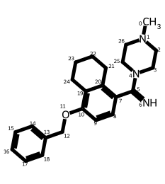 CN1CCN(C(=N)c2ccc(OCc3ccccc3)c3c2CCCC3)CC1